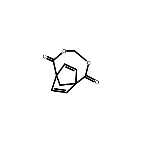 O=C1OCOC(=O)C23C=CC1(C=C2)C3